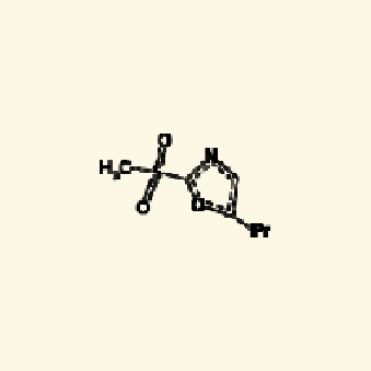 CC(C)c1cnc(S(C)(=O)=O)o1